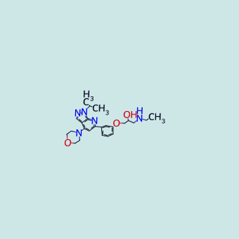 CCNCC(O)COc1cccc(-c2cc(N3CCOCC3)c3cnn(C(C)C)c3n2)c1